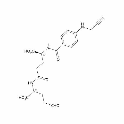 C#CCNc1ccc(C(=O)N[C@@H](CCC(=O)N[C@H](CCC=O)C(=O)O)C(=O)O)cc1